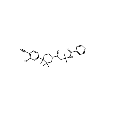 CC(C)(CC(=O)N1CCC(C)(c2ccc(C#N)c(Cl)c2)C(C)(C)C1)NC(=O)c1ccccc1